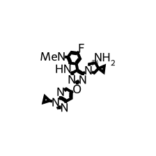 CNc1cc(F)cc2c1[nH]c1nc(Oc3cnc4c(c3)ncn4C3CC3)nc(N3C[C@H](N)C4(CC4)C3)c12